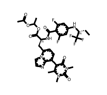 CC[C@@H](Nc1cc(F)c(C(=O)N[C@@H](Cc2ccc(-c3c(C)n(C)c(=O)n(C)c3=O)c3nccn23)C(=O)OC(C)OC(C)=O)c(F)c1)C(F)(F)F